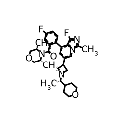 Cc1nc(F)c2c(-c3ccc(F)cc3C(=O)N3[C@H](C)COC[C@H]3C)cc(C3CN([C@@H](C)C4CCOCC4)C3)cn12